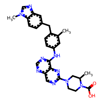 Cc1cc(Nc2ncnc3cnc(N4CCN(C(=O)O)C(C)C4)nc23)ccc1Cc1ccc2c(c1)ncn2C